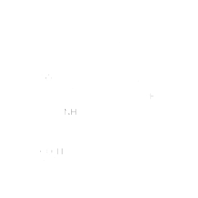 Cc1ccc([18F])cc1C(=O)NCC(=O)O